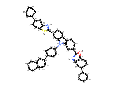 c1ccc(-c2ccc3oc(-c4ccc5c6ccc(-c7nc8cc(-c9ccccc9)ccc8s7)cc6n(-c6ccc(-c7ccc8ccccc8c7)cc6)c5c4)nc3c2)cc1